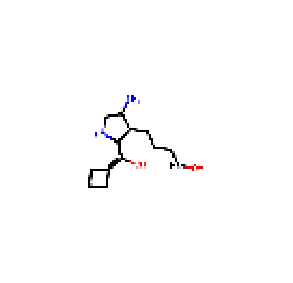 NC1CNC(C(O)=C2CCC2)C1CCCBO